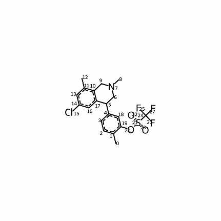 Cc1ccc(C2CN(C)Cc3c(C)cc(Cl)cc32)cc1OS(=O)(=O)C(F)(F)F